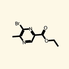 CCOC(=O)c1cnc(C)c(Br)n1